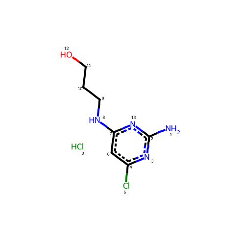 Cl.Nc1nc(Cl)cc(NCCCO)n1